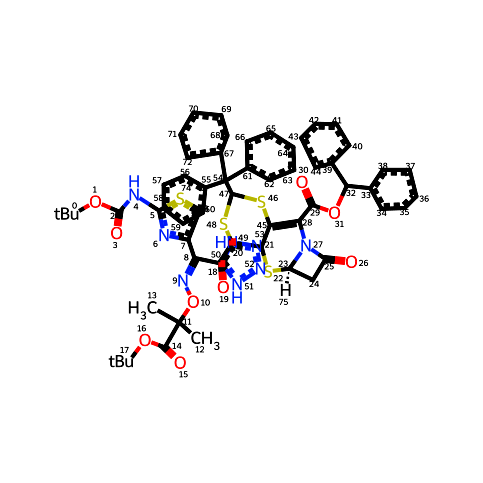 CC(C)(C)OC(=O)Nc1nc(/C(=N/OC(C)(C)C(=O)OC(C)(C)C)C(=O)NC2S[C@@H]3CC(=O)N3C(C(=O)OC(c3ccccc3)c3ccccc3)=C2SC(Sc2c[nH]nn2)C(c2ccccc2)(c2ccccc2)c2ccccc2)cs1